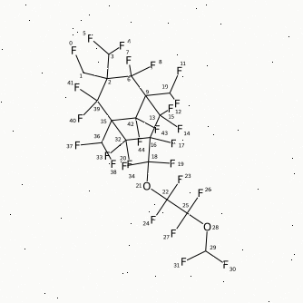 FCC1(C(F)F)C(F)(F)C2(C(F)F)C(F)(F)C(F)(C(F)(F)OC(F)(F)C(F)(F)OC(F)F)C(F)(F)C(C(F)F)(C1(F)F)C2(F)F